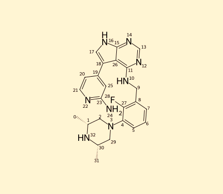 C[C@@H]1CN(c2cccc(CNc3ncnc4[nH]cc(-c5ccnc(N)c5)c34)c2F)C[C@H](C)N1